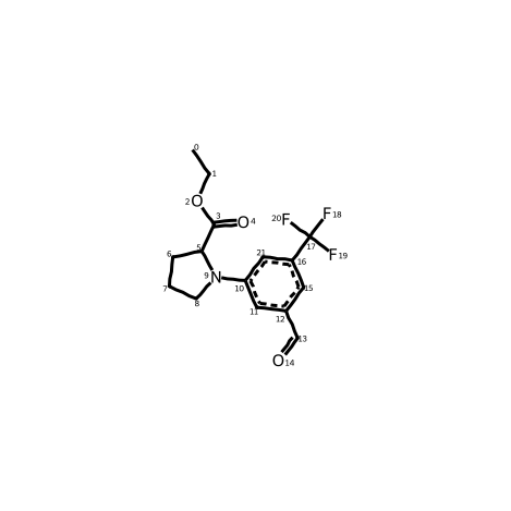 CCOC(=O)C1CCCN1c1cc(C=O)cc(C(F)(F)F)c1